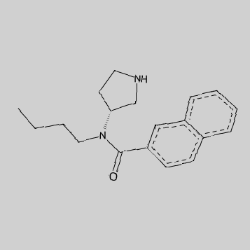 CCCCN(C(=O)c1ccc2ccccc2c1)[C@@H]1CCNC1